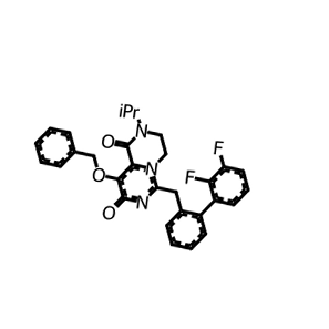 CC(C)N1CCn2c(Cc3ccccc3-c3cccc(F)c3F)nc(=O)c(OCc3ccccc3)c2C1=O